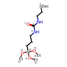 CCCCCCCCCCCCNC(=O)NCCC[Si](OCC)(OCC)OCC